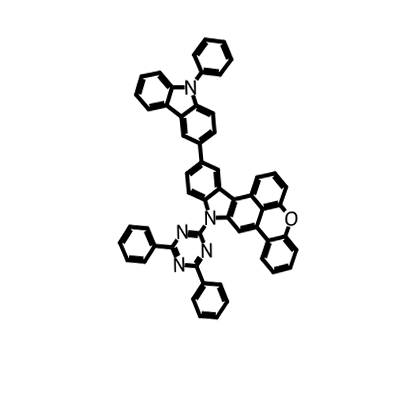 c1ccc(-c2nc(-c3ccccc3)nc(-n3c4ccc(-c5ccc6c(c5)c5ccccc5n6-c5ccccc5)cc4c4c5cccc6c5c(cc43)-c3ccccc3O6)n2)cc1